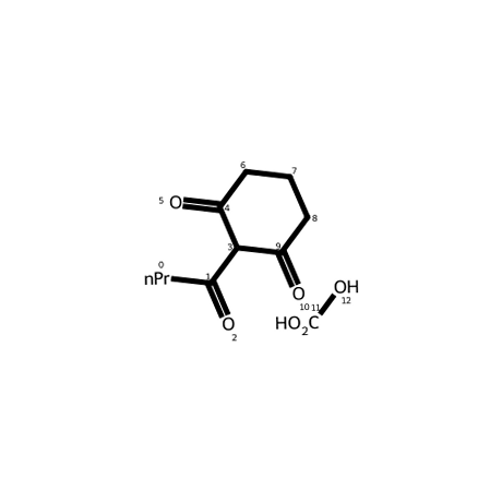 CCCC(=O)C1C(=O)CCCC1=O.O=C(O)O